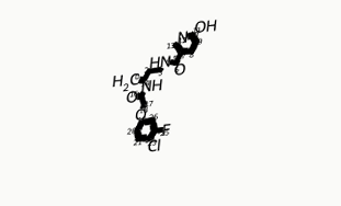 C=C(CCNC(=O)c1ccc(O)nc1)NC(=O)COc1ccc(Cl)c(F)c1